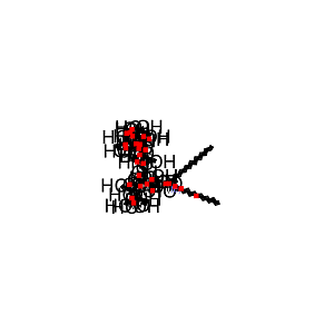 CCCCCCCCCCCCC/C=C/[C@@H](O)[C@H](CO[C@@H]1OC(CO)[C@@H](O[C@@H]2OC(CO[C@@H]3OC(CO)[C@@H](O[C@@H]4OC(CO)[C@H](O[C@@H]5OC(CO)[C@H](O)[C@H](O)C5NC(C)=O)[C@H](O[C@]5(C(=O)O)CC(O)[C@@H](NC(C)=O)C([C@H](O)[C@H](O)CO)O5)C4O)[C@H](O)C3NC(C)=O)[C@H](O)[C@H](O[C@@H]3OC(CO)[C@H](O)[C@H](O[C@@H]4OC(CO)[C@H](O)[C@H](O)C4NC(C)=O)C3O)C2O)[C@H](O)C1O)NC(=O)CCCCCCCCCCCCCCC